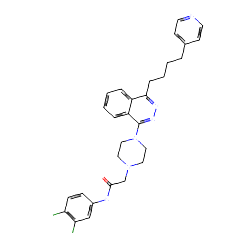 O=C(CN1CCN(c2nnc(CCCCc3ccncc3)c3ccccc23)CC1)Nc1ccc(F)c(Cl)c1